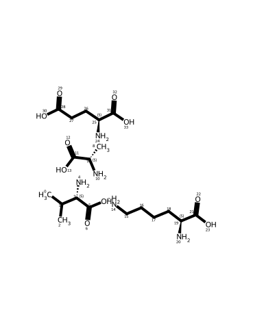 CC(C)[C@H](N)C(=O)O.C[C@H](N)C(=O)O.NCCCC[C@H](N)C(=O)O.N[C@@H](CCC(=O)O)C(=O)O